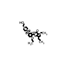 CCCOc1ccc(S(=O)(=O)N2CCN(CCO)CC2)cc1C1=NC2C(CCC)=CN(CC)C2C(=O)N1